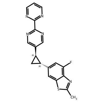 Cc1nc2c(F)cc([C@@H]3C[C@H]3c3cnc(-c4ncccn4)nc3)cc2s1